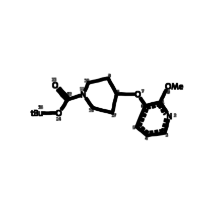 COc1ncccc1OC1CCN(C(=O)OC(C)(C)C)CC1